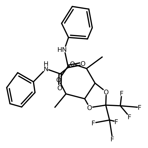 CC(OC(=O)Nc1ccccc1)C1OC(C(F)(F)F)(C(F)(F)F)OC1C(C)OC(=O)Nc1ccccc1